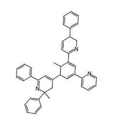 CC1C(C2=NCC(c3ccccc3)C=C2)=CC(c2ccccn2)=CC1C1=CC(c2ccccc2)=NC(C)(c2ccccc2)C1